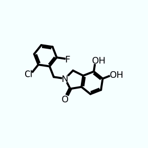 O=C1c2ccc(O)c(O)c2CN1Cc1c(F)cccc1Cl